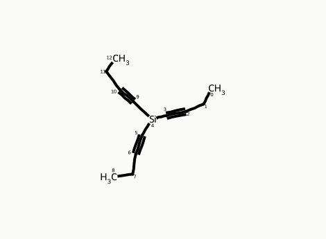 CCC#C[Si](C#CCC)C#CCC